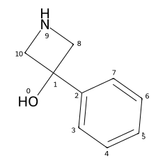 OC1(c2cc[c]cc2)CNC1